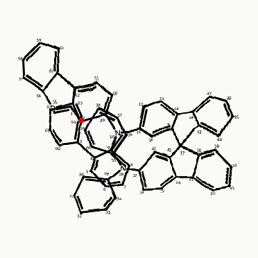 c1ccc(-c2ccccc2N(c2ccc3c(c2)C2(c4ccccc4-c4ccc(N(c5ccccc5)c5ccccc5)cc42)c2ccccc2-3)c2ccc3c(c2)oc2ccccc23)cc1